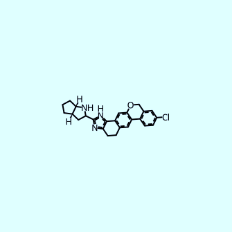 Clc1ccc2c(c1)COc1cc3c(cc1-2)CCc1nc(C2C[C@@H]4CCC[C@@H]4N2)[nH]c1-3